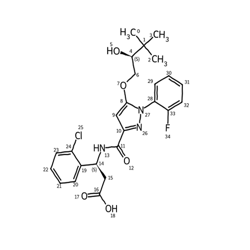 CC(C)(C)[C@H](O)COc1cc(C(=O)N[C@@H](CC(=O)O)c2ccccc2Cl)nn1-c1ccccc1F